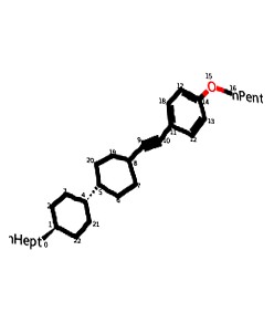 CCCCCCC[C@H]1CC[C@H](C2CCC(C#Cc3ccc(OCCCCC)cc3)CC2)CC1